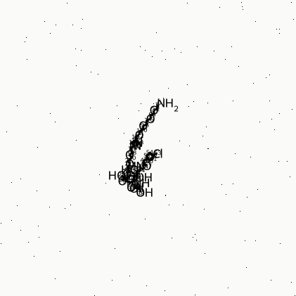 NCCOCCOCCOCCOCc1cn(CCOCCOCCO[C@]2(C(=O)O)C[C@H](O)[C@@H](NC(=O)CO)[C@H]([C@H](O)[C@H](O)CNC(=O)Cc3ccc(Cl)cc3)O2)nn1